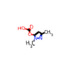 Cc1cc(OC(=O)O)n(C)n1